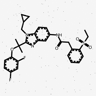 CCS(=O)(=O)c1ccccc1CC(=O)Nc1ccc2c(c1)nc(C(C)(C)Oc1ccc(F)cc1F)n2CC1CC1